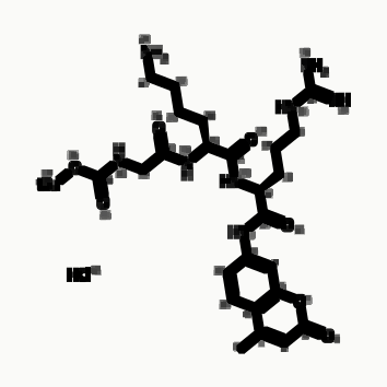 Cc1cc(=O)oc2cc(NC(=O)[C@H](CCCNC(=N)N)NC(=O)[C@H](CCCCN)NC(=O)CNC(=O)OC(C)(C)C)ccc12.Cl